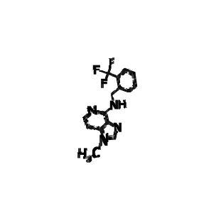 Cn1cnc2c(NCc3ccccc3C(F)(F)F)nccc21